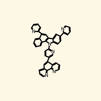 c1ccc(-c2ccc3c(c2)c2cc(-c4ccccn4)c4ccccc4c2n3-c2ccc(-c3cc4cccnc4c4ncccc34)cn2)nc1